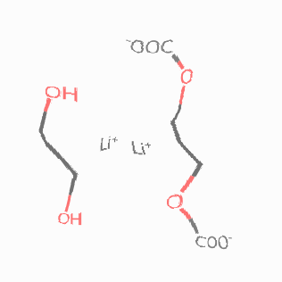 O=C([O-])OCCOC(=O)[O-].OCCO.[Li+].[Li+]